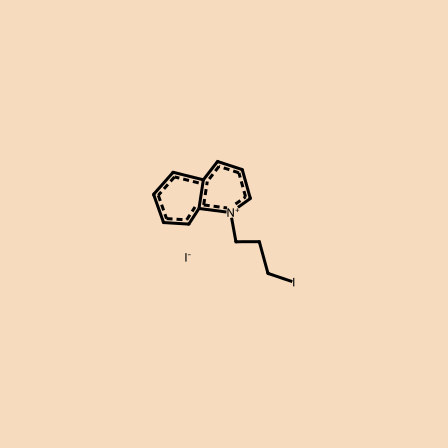 ICCC[n+]1cccc2ccccc21.[I-]